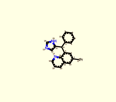 CC(C)c1cc(C(c2ccccc2)c2cnc[nH]2)c2ncccc2c1